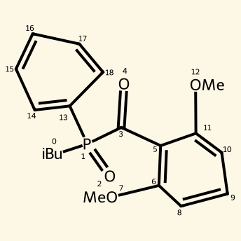 CCC(C)P(=O)(C(=O)c1c(OC)cccc1OC)c1ccccc1